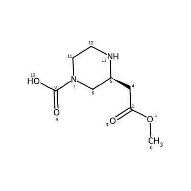 COC(=O)C[C@H]1CN(C(=O)O)CCN1